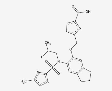 Cc1csc(S(=O)(=O)N(CC(C)F)c2cc3c(cc2OCc2ccc(C(=O)O)s2)CCC3)n1